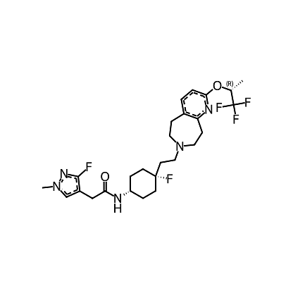 C[C@@H](Oc1ccc2c(n1)CCN(CC[C@]1(F)CC[C@@H](NC(=O)Cc3cn(C)nc3F)CC1)CC2)C(F)(F)F